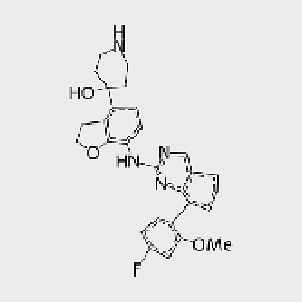 COc1cc(F)ccc1-c1cccc2cnc(Nc3ccc(C4(O)CCNCC4)c4c3OCC4)nc12